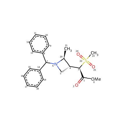 COC(=O)[C@@H]([C@@H]1CN(C(c2ccccc2)c2ccccc2)[C@H]1C)S(C)(=O)=O